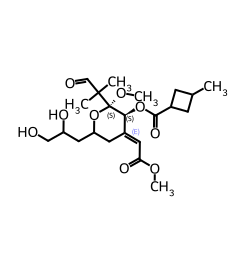 COC(=O)/C=C1\CC(CC(O)CO)O[C@@](OC)(C(C)(C)C=O)[C@H]1OC(=O)C1CC(C)C1